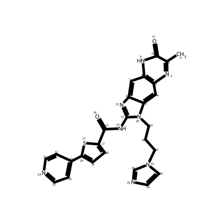 Cc1nc2cc3c(cc2[nH]c1=O)nc(NC(=O)c1ccc(-c2ccncc2)s1)n3CCCn1ccnc1